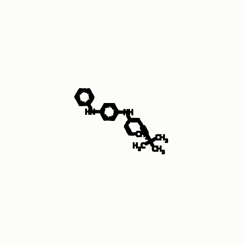 C/C=C\C(=C/C#CC(C)(C)C)Nc1ccc(Nc2ccccc2)cc1